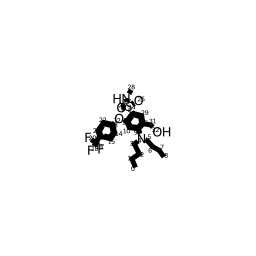 CCCCN(CCCC)c1cc(Oc2ccc(C(F)(F)F)cc2)c(S(=O)(=O)NC)cc1CO